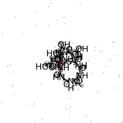 CC[C@H](C)[C@@H]1NC(=O)CNC(=O)C2Cc3c([nH]c4ccccc34)SCC(NC(=O)CNC1=O)C(=O)NC(CC(=O)O)C(=O)N1CC(O)C[C@H]1C(O)N[C@@H](C(C)[C@@H](O)CO)C(=O)N2